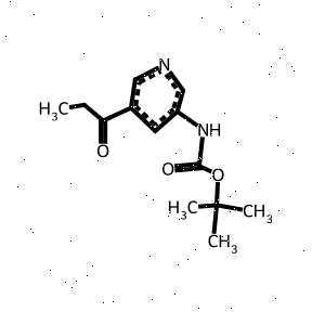 CCC(=O)c1cncc(NC(=O)OC(C)(C)C)c1